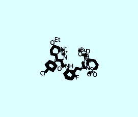 CCO[C@H]1CC[C@H]([C@H](c2ccc(Cl)cc2)[C@H](N=[N+]=[N-])C(=O)Nc2cccc(F)c2CC[C@H]2CN(C(=O)OC(C)(C)C)[C@@H]3CCCS(=O)(=O)N2C3)CC1